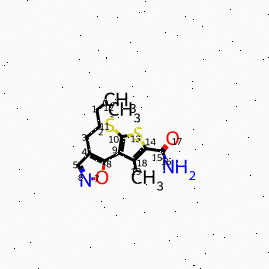 CCCCc1cnoc1-c1c(SC)sc(C(N)=O)c1C